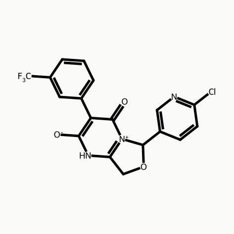 O=c1c(-c2cccc(C(F)(F)F)c2)c([O-])[nH]c2[n+]1C(c1ccc(Cl)nc1)OC2